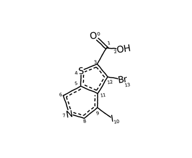 O=C(O)c1sc2cncc(I)c2c1Br